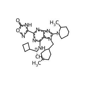 CC1CCC(Cn2c(N3CCCCC3C)nc3nc(-c4noc(=O)[nH]4)nc(N[C@H](C)C4CCC4)c32)CC1